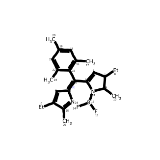 CCC1=C/C(=C(/C2=CC(CC)C(C)N2B(F)F)c2c(C)cc(C)cc2C)N=C1C